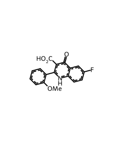 COc1ccccc1-c1[nH]c2ccc(F)cc2c(=O)c1C(=O)O